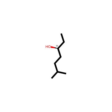 CC[C@H](O)CCC(C)C